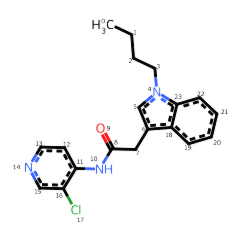 CCCCn1cc(CC(=O)Nc2ccncc2Cl)c2ccccc21